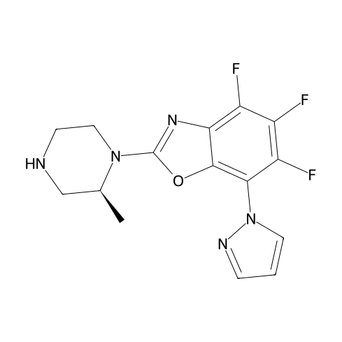 C[C@H]1CNCCN1c1nc2c(F)c(F)c(F)c(-n3cccn3)c2o1